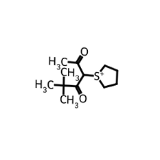 CC(=O)C(C(=O)C(C)(C)C)[S+]1CCCC1